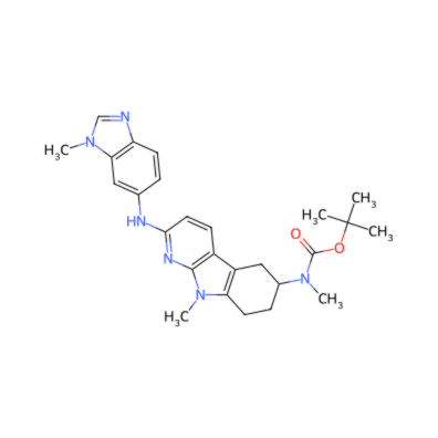 CN(C(=O)OC(C)(C)C)C1CCc2c(c3ccc(Nc4ccc5ncn(C)c5c4)nc3n2C)C1